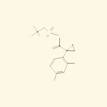 O=C(NS(=O)(=O)CC(F)(F)F)C1(c2ccc(Cl)cc2Cl)CC1